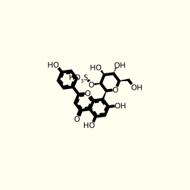 O=c1cc(-c2ccc(O)cc2)oc2c([C@@H]3O[C@H](CO)[C@@H](O)[C@H](O)[C@@H]3OS(=O)(=O)O)c(O)cc(O)c12